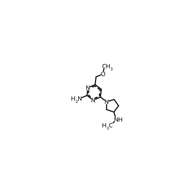 CNC1CCN(c2cc(COC)nc(N)n2)C1